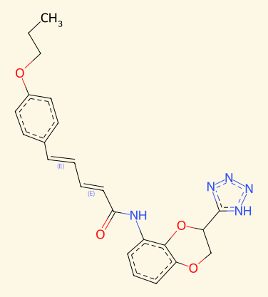 CCCOc1ccc(/C=C/C=C/C(=O)Nc2cccc3c2OC(c2nnn[nH]2)CO3)cc1